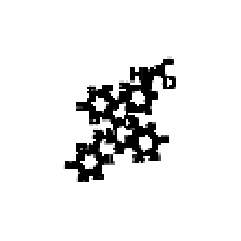 CC(=O)Nc1cccc(-c2ccccc2C(=O)N(Cc2ccccc2)Cc2ccccc2)c1